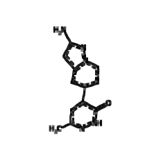 Cc1cc(-c2ccn3nc(N)cc3c2)c(=O)[nH]n1